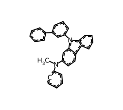 CN(c1ccccc1)c1ccc2c3ccccc3n(-c3cccc(-c4ccccc4)c3)c2c1